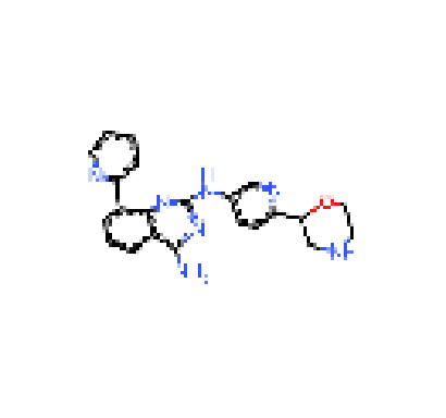 Nc1nc(Nc2ccc(C3CNCCO3)nc2)nc2c(-c3ccccn3)cccc12